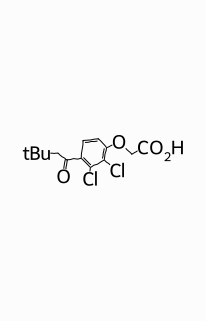 CC(C)(C)CC(=O)c1ccc(OCC(=O)O)c(Cl)c1Cl